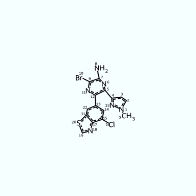 Cn1ccc(-c2nc(N)c(Br)nc2-c2cc(Cl)c3ncsc3c2)n1